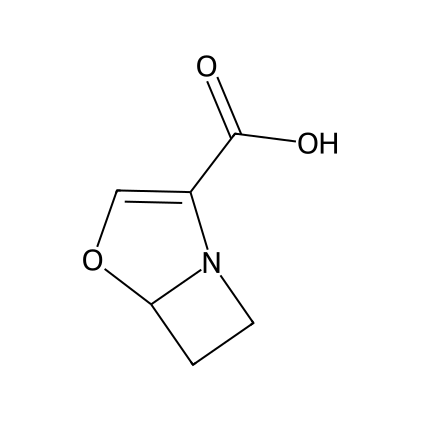 O=C(O)C1=COC2CCN12